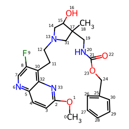 COc1ccc2ncc(F)c(CCN3CC(O)C(C)(CNC(=O)OCc4ccccc4)C3)c2n1